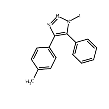 Cc1ccc(-c2nnn(I)c2-c2ccccc2)cc1